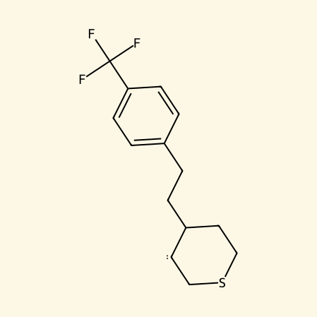 FC(F)(F)c1ccc(CCC2[C]CSCC2)cc1